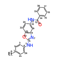 CCc1ccc(Nc2nc3cc(NC(=O)c4ccccc4)ccc3o2)cc1